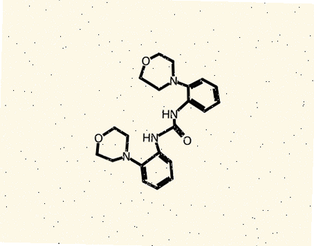 O=C(Nc1ccccc1N1CCOCC1)Nc1ccccc1N1CCOCC1